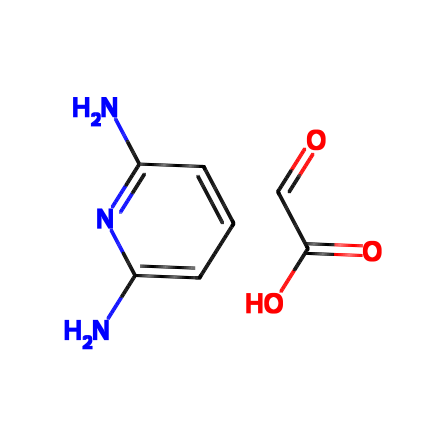 Nc1cccc(N)n1.O=CC(=O)O